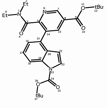 CCN(CC)C(=O)c1ncc(C(=O)OC(C)(C)C)cc1-c1cccc2c1ccn2C(=O)OC(C)(C)C